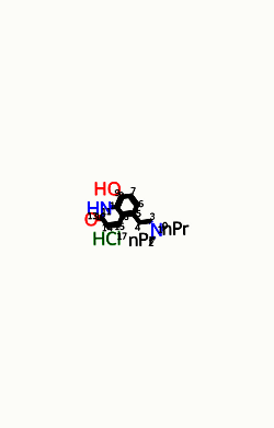 CCCN(CCC)CCc1ccc(O)c2[nH]c(=O)ccc12.Cl